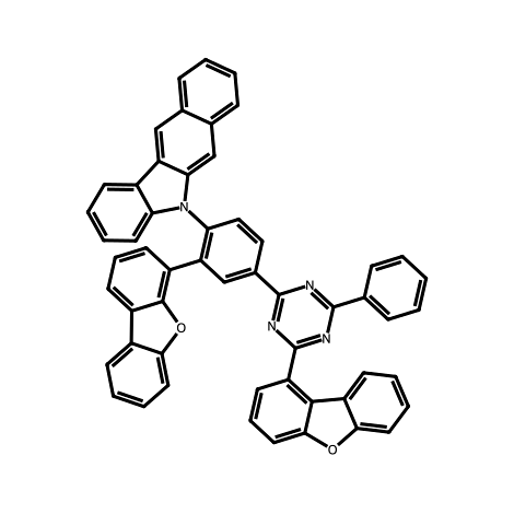 c1ccc(-c2nc(-c3ccc(-n4c5ccccc5c5cc6ccccc6cc54)c(-c4cccc5c4oc4ccccc45)c3)nc(-c3cccc4oc5ccccc5c34)n2)cc1